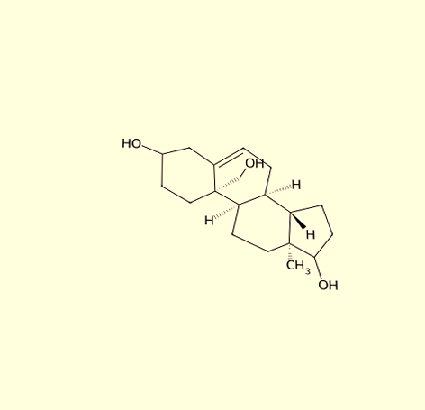 C[C@]12CC[C@@H]3[C@@H](CC=C4CC(O)CC[C@@]43CO)[C@@H]1CCC2O